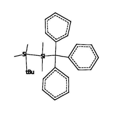 CC(C)(C)[Si](C)(C)[Si](C)(C)C(c1ccccc1)(c1ccccc1)c1ccccc1